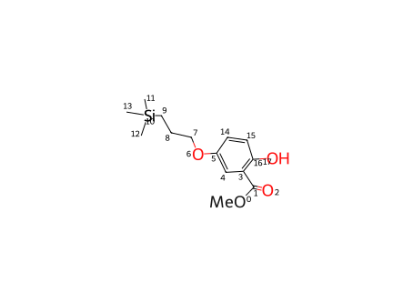 COC(=O)c1cc(OCCC[Si](C)(C)C)ccc1O